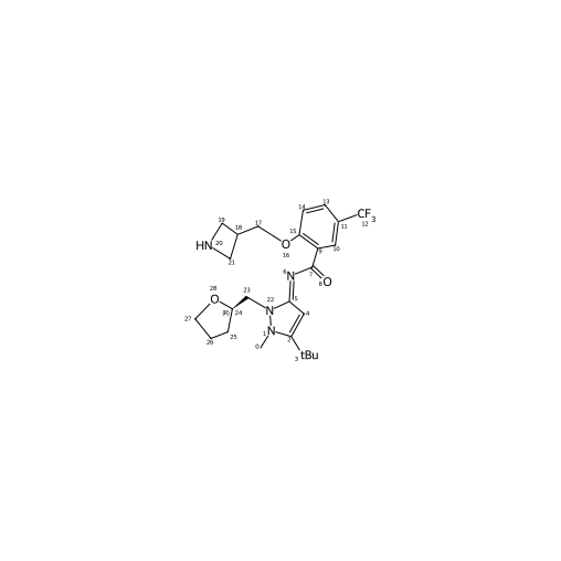 Cn1c(C(C)(C)C)cc(=NC(=O)c2cc(C(F)(F)F)ccc2OCC2CNC2)n1C[C@H]1CCCO1